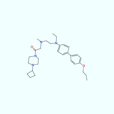 CCCOc1ccc(-c2ccc(N(CC)CCN(C)CC(=O)N3CCN(C4CCC4)CC3)cc2)cc1